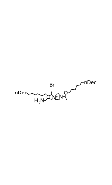 CCCCCCCCCCCCCCCCOC(C)N1CC[N+](CCCN)(C(C)OCCCCCCCCCCCCCCCC)CC1.[Br-]